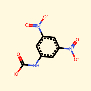 O=C(O)Nc1cc([N+](=O)[O-])cc([N+](=O)[O-])c1